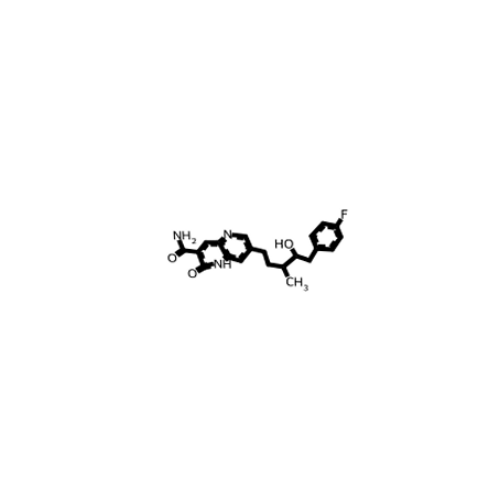 CC(CCc1cnc2cc(C(N)=O)c(=O)[nH]c2c1)C(O)Cc1ccc(F)cc1